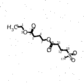 CCOC(=O)CCCOC(=O)CCCS(=O)(=O)I